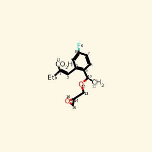 CCC(=Cc1cc(F)ccc1[C@@H](C)OCC1CO1)C(=O)O